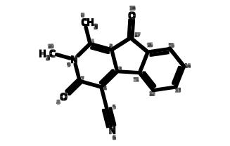 Cc1c2c(c(C#N)c(=O)n1C)-c1ccccc1C2=O